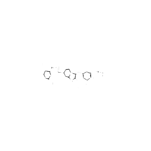 Cc1c(Cc2cccc(OC(C)(C)C(=O)O)c2)c2ccc(C(=O)N[C@@H](C)c3cccc(Br)c3)cc2n1C